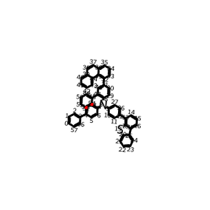 c1ccc(-c2ccc(N(c3ccc(-c4cccc5c4sc4ccccc45)cc3)c3ccc(-c4cccc5ccc6ccccc6c45)cc3-c3ccccc3)cc2)cc1